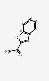 NC(=O)c1cc2ccncc2o1